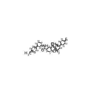 Cc1ccc(C(=O)Nc2cccc(N3CCN(C)CC3)c2)cc1N(C)c1nccc(-c2ccc(F)cc2)n1